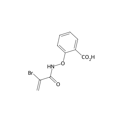 C=C(Br)C(=O)NOc1ccccc1C(=O)O